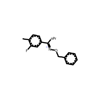 CCC/C(=N\OCc1ccccc1)c1ccc(C)c(F)c1